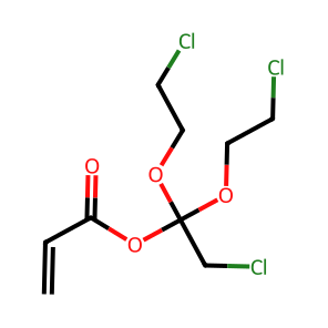 C=CC(=O)OC(CCl)(OCCCl)OCCCl